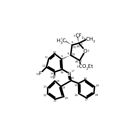 CCOC(=O)[C@@H]1O[C@@](C)(C(F)(F)F)[C@@H](C)[C@H]1c1ccc(F)c(F)c1N=C(c1ccccc1)c1ccccc1